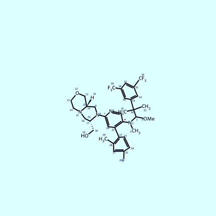 COC(N(C)c1cnc(N2C[C@H]3COCCN3C[C@H]2CO)cc1-c1ccc(F)cc1C)C(C)(C)c1cc(C(F)(F)F)cc(C(F)(F)F)c1